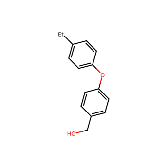 CCc1ccc(Oc2ccc(CO)cc2)cc1